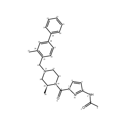 CC(=O)Nc1ccn(C(=O)N2CCN(Cc3ccc(-c4ccccc4)cc3C)C[C@@H]2C)n1